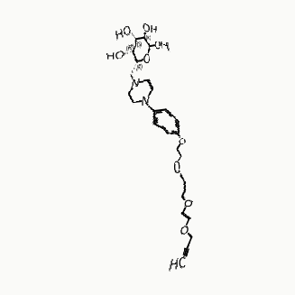 C#CCOCCOCCOCCOc1ccc(N2CCN(C[C@H]3OC(O)[C@H](O)[C@@H](O)[C@H]3O)CC2)cc1